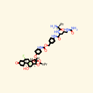 CCCC1O[C@@H]2C[C@H]3C4C[C@H](F)C5=CC(=O)C=C[C@]5(C)[C@@]4(F)[C@@H](O)C[C@]3(C)[C@]2(C(=O)COc2ccc(NC(=O)OCc3ccc(NC(=O)C(CCCNC(N)=O)NC(=O)[C@@H](N)C(C)C)cc3)cc2)O1